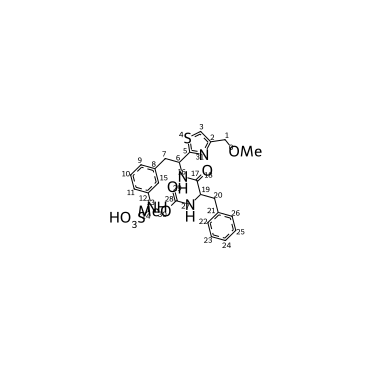 COCc1csc(C(Cc2cccc(NS(=O)(=O)O)c2)NC(=O)C(Cc2ccccc2)NC(=O)OC)n1